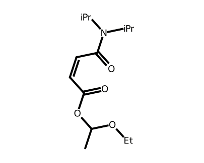 CCOC(C)OC(=O)/C=C\C(=O)N(C(C)C)C(C)C